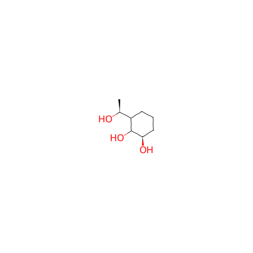 C[C@H](O)C1CCC[C@@H](O)C1O